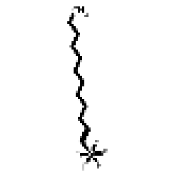 CCCCCCCCCC/C=C/S(F)(F)(F)(F)F